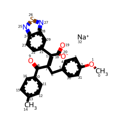 COc1ccc(CC(C(=O)c2ccc(C)cc2)=C(C(=O)[O-])c2ccc3nsnc3c2)cc1.[Na+]